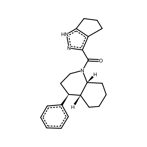 O=C(c1n[nH]c2c1CCC2)N1CC[C@H](c2ccccc2)[C@H]2CCCC[C@H]21